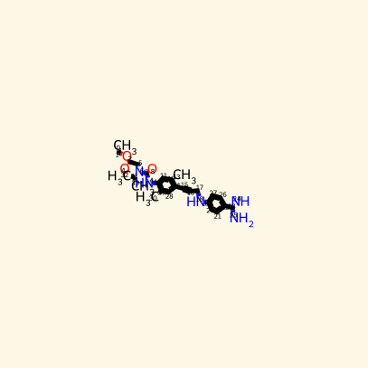 CCOC(=O)CN(C(=O)Nc1cc(C)c(C#CCNc2ccc(C(=N)N)cc2)cc1C)C(C)C